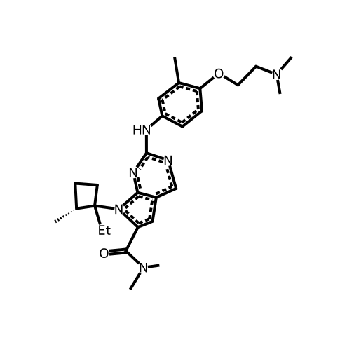 CCC1(n2c(C(=O)N(C)C)cc3cnc(Nc4ccc(OCCN(C)C)c(C)c4)nc32)CC[C@H]1C